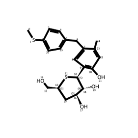 CSc1ccc(Cc2cc([C@@H]3S[C@H](CO)C[C@H](O)[C@H]3O)c(O)cc2C)cc1